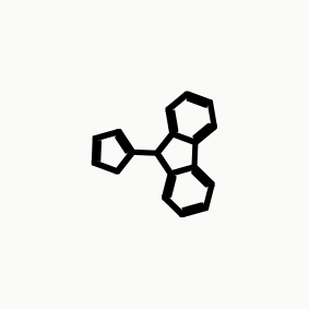 C1=CCC(C2c3ccccc3-c3ccccc32)=C1